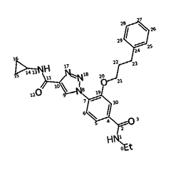 CCNC(=O)c1ccc(-n2cc(C(=O)NC3CC3)nn2)c(OCCCc2ccccc2)c1